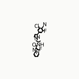 CC(Cn1ccc(-c2cc(F)c(C#N)c(Cl)c2)n1)NC(=O)c1nc2ccccn2c1F